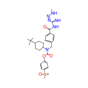 C=S(C)(=O)c1ccc(OC(=O)N(Cc2ccc(C(=O)NC(=N)/N=N\NC)cc2)C2CCC(C(C)(C)C)CC2)cc1